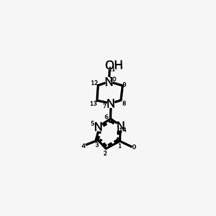 Cc1cc(C)nc(N2CCN(O)CC2)n1